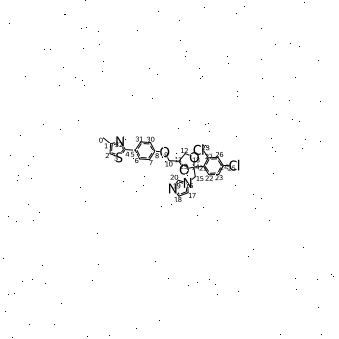 Cc1csc(-c2ccc(OCC3COC(Cn4ccnc4)(c4ccc(Cl)cc4Cl)O3)cc2)n1